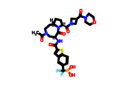 CC(=O)N1CC[C@H]2CC[C@@H](C(=O)N3CC(C(=O)N4CCOCC4)C3)N2C(=O)[C@@H](NC(=O)c2cc3cc(C(F)(F)P(O)O)ccc3s2)C1